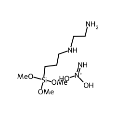 CO[Si](CCCNCCN)(OC)OC.N=[N+](O)O